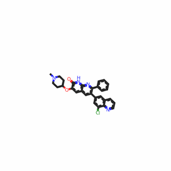 CN1CCC(Oc2cc3cc(-c4cc(Cl)c5ncccc5c4)c(-c4ccccc4)nc3[nH]c2=O)CC1